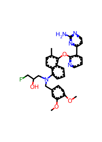 COc1ccc(CN(CC(O)CF)c2cccc3c(Oc4ncccc4-c4ccnc(N)n4)c(C)ccc23)cc1OC